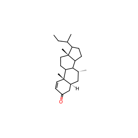 CCC(C)C1CCC2C3C(CC[C@]12C)[C@@]1(C)C=CC(=O)C[C@@H]1C[C@H]3C